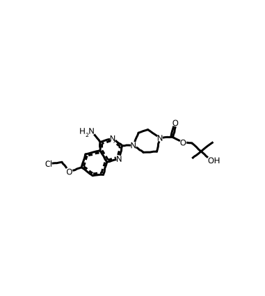 CC(C)(O)COC(=O)N1CCN(c2nc(N)c3cc(OCCl)ccc3n2)CC1